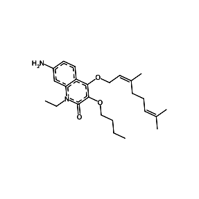 CCCCOc1c(OCC=C(C)CCC=C(C)C)c2ccc(N)cc2n(CC)c1=O